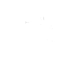 O=C1c2c(cc(O)c(Cl)c2Cl)CC1c1ccccc1